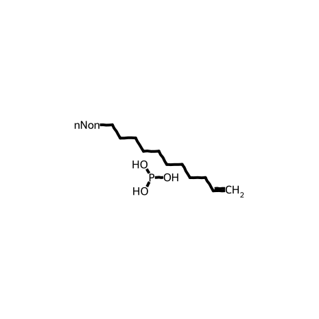 C=CCCCCCCCCCCCCCCCCCC.OP(O)O